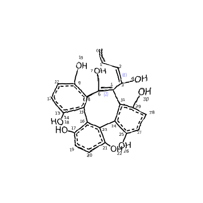 C=C/C=C(O)\C1=C(/O)c2c(O)ccc(O)c2-c2c(O)ccc(O)c2-c2c(O)ccc(O)c21